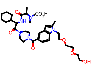 Cc1cc2cc(C(=O)N3CCN(C(=O)C(NC(=O)C(C)N(C)C(=O)O)C4CCCCC4)CC3)ccc2n1CCOCCOCCO